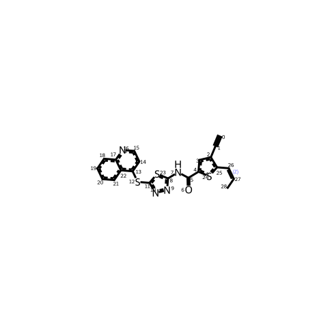 C#Cc1cc(C(=O)Nc2nnc(Sc3ccnc4ccccc34)s2)sc1/C=C\C